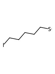 [S]CCCCCI